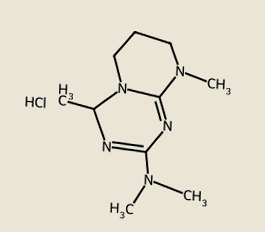 CC1N=C(N(C)C)N=C2N(C)CCCN21.Cl